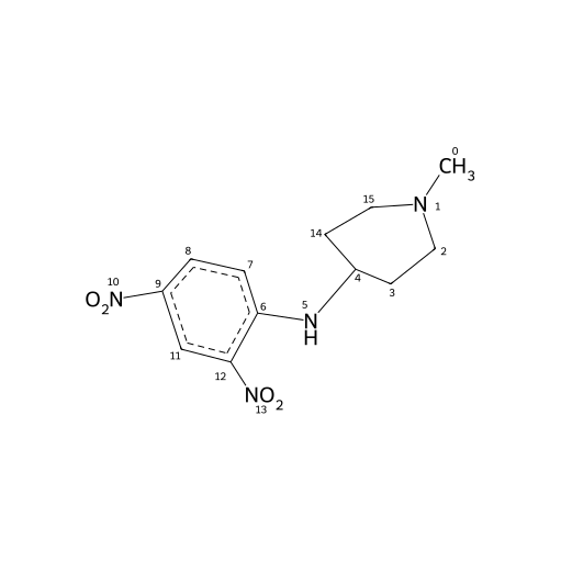 CN1CCC(Nc2ccc([N+](=O)[O-])cc2[N+](=O)[O-])CC1